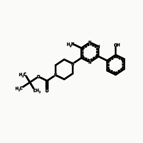 CC(C)(C)OC(=O)N1CCN(c2nc(-c3ccccc3O)nnc2N)CC1